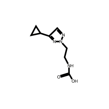 O=C(O)NCCn1ncc(C2CC2)n1